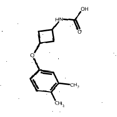 Cc1ccc(OC2CC(NC(=O)O)C2)cc1C